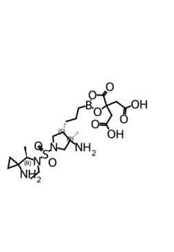 CCN([C@H](C)C1(N)CC1)S(=O)(=O)N1C[C@H](CCCB2OC(=O)C(CC(=O)O)(CC(=O)O)O2)[C@@](C)(N)C1